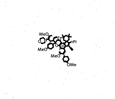 C#CC1=C(CCC)C2(CC(C)(C)C[C@](C)(CC)C2)[C@H]2C3=C(OC(C4C=CC(OC)CC4)(C(C=C)C/C(=C(\C)OC)N4CCOCC4)CC3)[C@@H](C)C(/C=C(\C(=C)OC)[C@@H]3CC=C(OC)CC3)C12